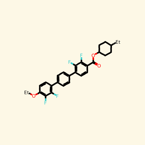 CCOc1ccc(-c2ccc(-c3ccc(C(=O)OC4CCC(CC)CC4)c(F)c3F)cc2)c(F)c1F